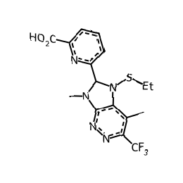 CCSN1c2c(nnc(C(F)(F)F)c2C)N(C)C1c1cccc(C(=O)O)n1